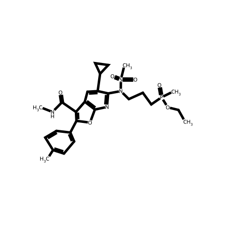 CCOP(C)(=O)CCCN(c1nc2oc(-c3ccc(C)cc3)c(C(=O)NC)c2cc1C1CC1)S(C)(=O)=O